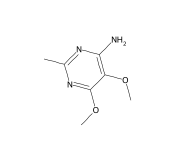 COc1nc(C)nc(N)c1OC